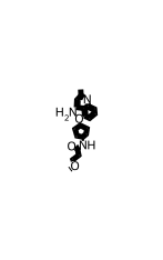 COCCC(=O)N[C@H]1CC[C@H](Oc2cccc3nc(C)cc(N)c23)CC1